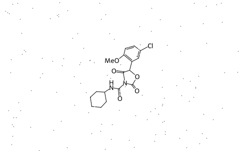 COc1ccc(Cl)cc1C1OC(=O)N(C(=O)NC2CCCCC2)C1=O